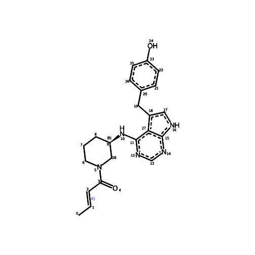 C/C=C/C(=O)N1CCC[C@@H](Nc2ncnc3[nH]cc(Cc4ccc(O)cc4)c23)C1